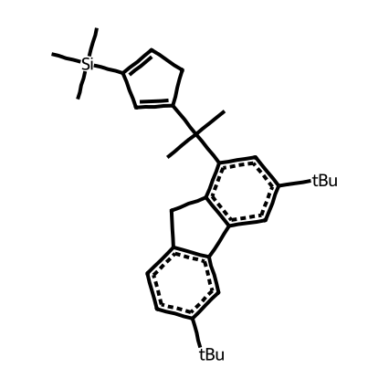 CC(C)(C)c1ccc2c(c1)-c1cc(C(C)(C)C)cc(C(C)(C)C3=CC([Si](C)(C)C)=CC3)c1C2